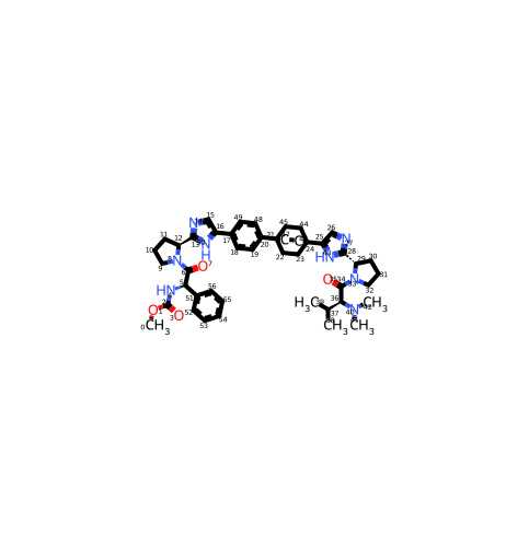 COC(=O)N[C@@H](C(=O)N1CCC[C@H]1c1ncc(-c2ccc(C34CCC(c5cnc([C@@H]6CCCN6C(=O)[C@H](C(C)C)N(C)C)[nH]5)(CC3)CC4)cc2)[nH]1)c1ccccc1